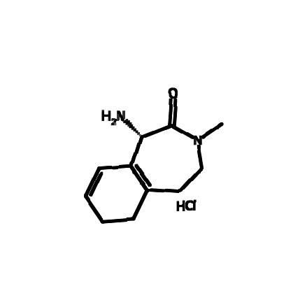 CN1CCC2=C(C=CCC2)[C@H](N)C1=O.Cl